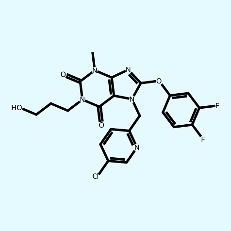 Cn1c(=O)n(CCCO)c(=O)c2c1nc(Oc1ccc(F)c(F)c1)n2Cc1ccc(Cl)cn1